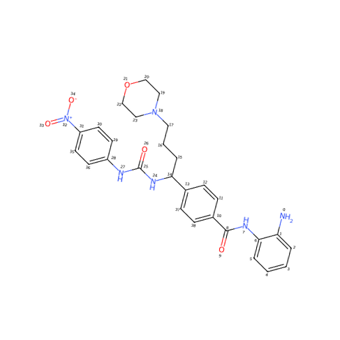 Nc1ccccc1NC(=O)c1ccc(C(CCCN2CCOCC2)NC(=O)Nc2ccc([N+](=O)[O-])cc2)cc1